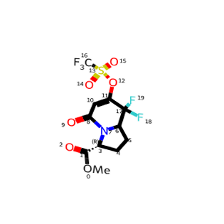 COC(=O)[C@H]1CCC2N1C(=O)C=C(OS(=O)(=O)C(F)(F)F)C2(F)F